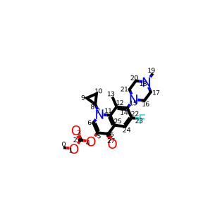 COC(=O)Oc1cn(C2CC2)c2c(C)c(N3CCN(C)CC3)c(F)cc2c1=O